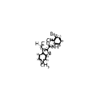 CCn1c(C(=O)Nc2cccc(Br)c2Cl)nc2c1CCN(C)C2